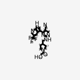 N#Cc1cnc(NCC2CCN(C(=O)CO)CC2)nc1-c1c[nH]c2ncc(C(F)(F)F)cc12